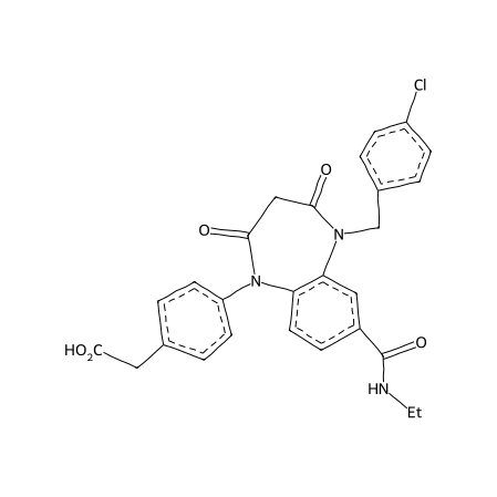 CCNC(=O)c1ccc2c(c1)N(Cc1ccc(Cl)cc1)C(=O)CC(=O)N2c1ccc(CC(=O)O)cc1